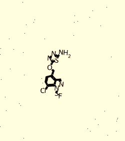 Nc1nnc(OCc2ccc(Cl)c3c2cnn3SF)s1